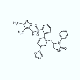 Cc1noc(NS(=O)(=O)c2ccccc2-c2ccc(-c3ncco3)cc2CC2CNC(=O)N2c2ccccc2)c1C